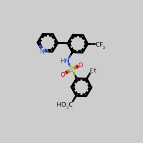 CCc1ccc(C(=O)O)cc1S(=O)(=O)Nc1cc(C(F)(F)F)ccc1-c1cccnc1